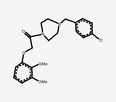 COc1cccc(OCC(=O)N2CCN(Cc3ccc(Cl)cc3)CC2)c1OC